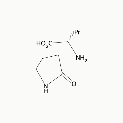 CC(C)[C@H](N)C(=O)O.O=C1CCCN1